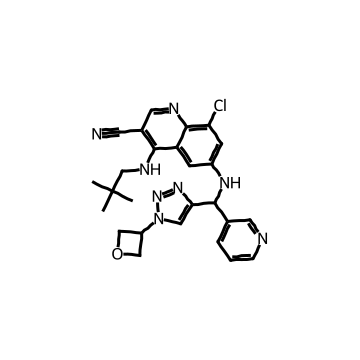 CC(C)(C)CNc1c(C#N)cnc2c(Cl)cc(NC(c3cccnc3)c3cn(C4COC4)nn3)cc12